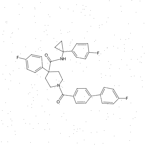 O=C(c1ccc(-c2ccc(F)cc2)cc1)N1CCC(C(=O)NC2(c3ccc(F)cc3)CC2)(c2ccc(F)cc2)CC1